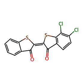 O=C1C(=C2Sc3c(ccc(Cl)c3Cl)C2=O)Sc2ccccc21